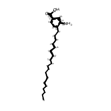 CCCCCCCCCCCCCCCCCCCc1ccc(C(=O)O)cc1N